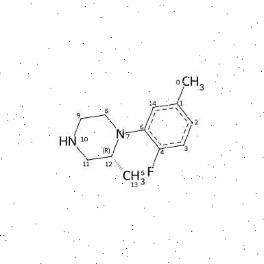 Cc1ccc(F)c(N2CCNC[C@H]2C)c1